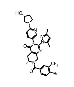 Cc1cc(C)n(-c2nc3c(c(=O)n2-c2ccc(N4CC[C@@H](O)C4)nc2)C[C@@H](C)N(C(=O)c2ccc(Br)c(C(F)(F)F)c2)C3)n1